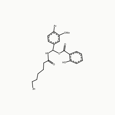 COc1cc(C(NC(=O)CCCCCC(C)C)OC(=O)c2ccccc2O)ccc1C(C)=O